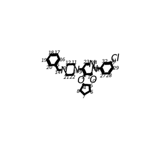 O=c1c(OC2CCCC2)c(N2CCN(Cc3ccccc3)CC2)cnn1-c1cccc(Cl)c1